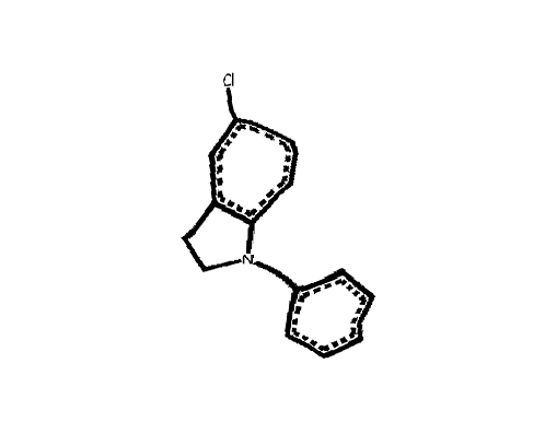 Clc1ccc2c(c1)CCN2c1ccccc1